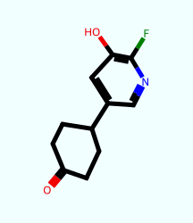 O=C1CCC(c2cnc(F)c(O)c2)CC1